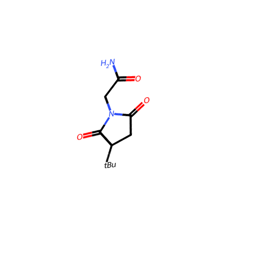 CC(C)(C)C1CC(=O)N(CC(N)=O)C1=O